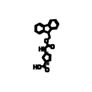 O=C(N[C@H]1C=C[C@@H](C(=O)O)C1)OCC1c2ccccc2-c2ccccc21